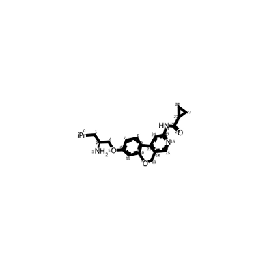 CC(C)C[C@H](N)COc1ccc2c(c1)OCc1cnc(NC(=O)C3CC3)cc1-2